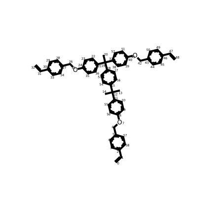 C=Cc1ccc(COc2ccc(C(C)(C)c3ccc(C(C)(c4ccc(OCc5ccc(C=C)cc5)cc4)c4ccc(OCc5ccc(C=C)cc5)cc4)cc3)cc2)cc1